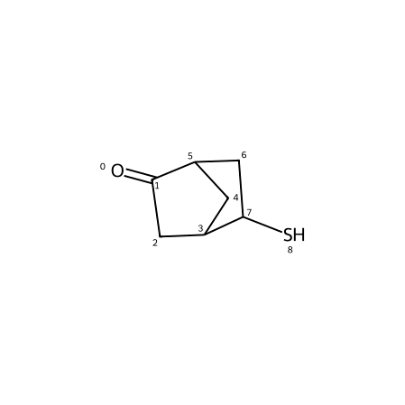 O=C1CC2CC1CC2S